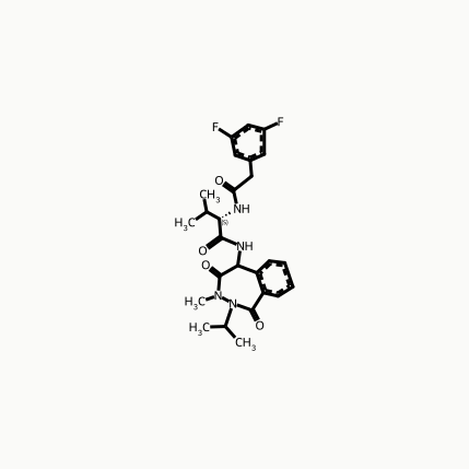 CC(C)[C@H](NC(=O)Cc1cc(F)cc(F)c1)C(=O)NC1C(=O)N(C)N(C(C)C)C(=O)c2ccccc21